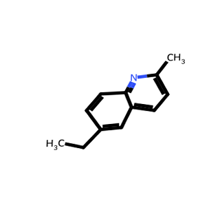 CCc1ccc2nc(C)ccc2c1